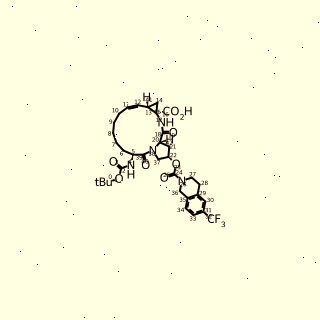 CC(C)(C)OC(=O)N[C@H]1CCCCC/C=C\[C@@H]2C[C@@]2(C(=O)O)NC(=O)[C@@H]2C[C@@H](OC(=O)N3CCc4cc(C(F)(F)F)ccc4C3)CN2C1=O